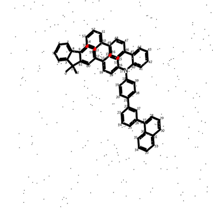 CC1(C)c2ccccc2-c2ccc(-c3ccc(N(c4ccc(-c5cccc(-c6cccc7ccccc67)c5)cc4)c4ccccc4-c4ccc(-c5ccccc5)cc4)cc3)cc21